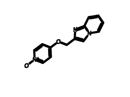 [O-][n+]1ccc(OCc2cn3ccccc3n2)cc1